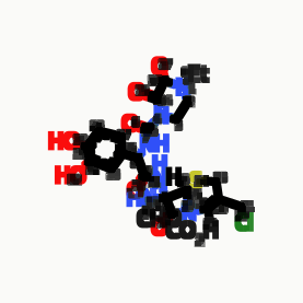 CCN1CCN(C(=O)N[C@@H](C(=O)N[C@]2(NC=O)C(=O)N3C(C(=O)O)=C(CCl)CS[C@@H]32)c2ccc(O)c(O)c2)C(=O)C1=O